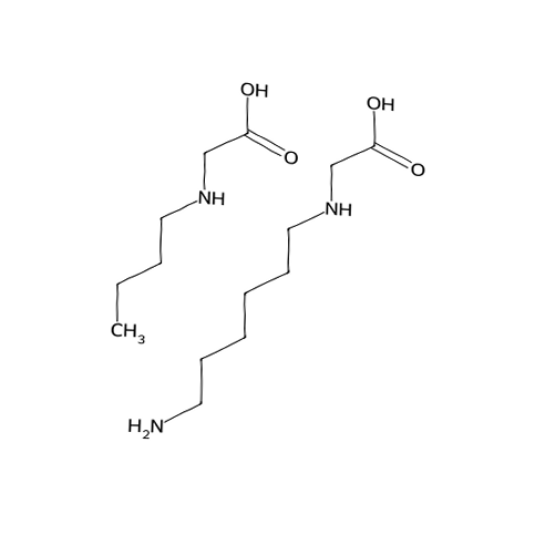 CCCCNCC(=O)O.NCCCCCCNCC(=O)O